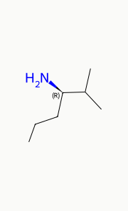 CCC[C@@H](N)C(C)C